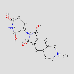 CN1CCc2cc3c(cc2C1)C(=O)N([C@@H]1CCC(=O)NC1=O)C3=O